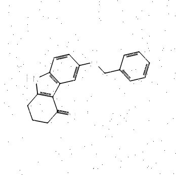 O=C1CCCc2[nH]c3ccc(OCc4ccccc4)cc3c21